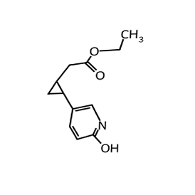 CCOC(=O)CC1CC1c1ccc(O)nc1